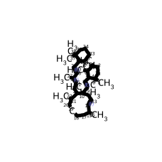 C=C1CCC(C)(C)C(/C=C/[C@@]2(C)C/C=C/C(C)CCCCC(C)C2C/C=C(C)/C=C/C2C(C)CCCC2(C)C)C1C